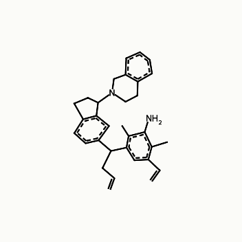 C=CCC(c1ccc2c(c1)C(N1CCc3ccccc3C1)CC2)c1cc(C=C)c(C)c(N)c1C